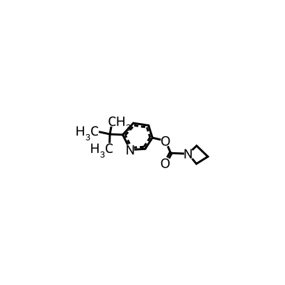 CC(C)(C)c1ccc(OC(=O)N2CCC2)cn1